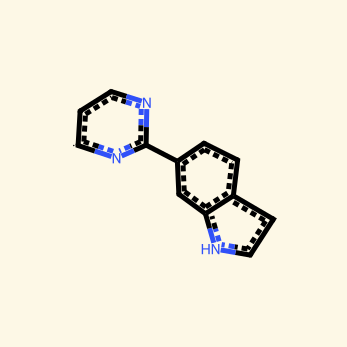 [c]1ccnc(-c2ccc3cc[nH]c3c2)n1